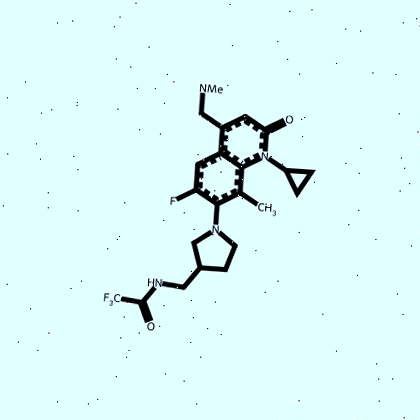 CNCc1cc(=O)n(C2CC2)c2c(C)c(N3CCC(CNC(=O)C(F)(F)F)C3)c(F)cc12